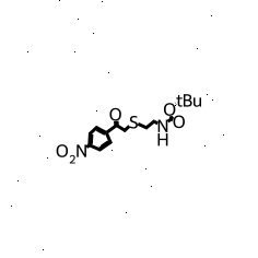 CC(C)(C)OC(=O)NCCSCC(=O)c1ccc([N+](=O)[O-])cc1